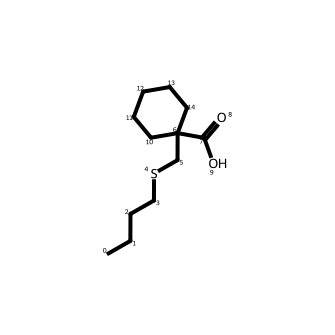 CCCCSCC1(C(=O)O)CCCCC1